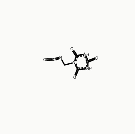 O=C=NCn1c(=O)[nH]c(=O)[nH]c1=O